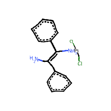 NC(=C(N)c1ccccc1)c1ccccc1.[Cl][Pt][Cl]